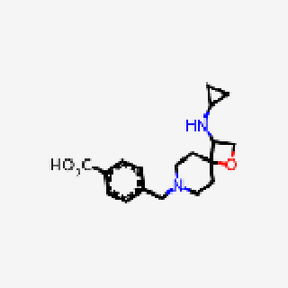 O=C(O)c1ccc(CN2CCC3(CC2)OCC3NC2CC2)cc1